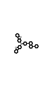 c1ccc(-c2cccc3c(-c4ccc(N(c5ccc6c(c5)oc5ccccc56)c5ccc6c(c5)oc5ccccc56)cc4)cccc23)cc1